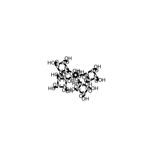 O=C(O)CN1CCN(CC(=O)O)CCN(CC(O)CO[C@@H]2[C@@H](OCC(O)CN3CCN(CC(=O)O)CCN(CC(=O)O)CCN(CC(=O)O)CC3)[C@H](OCC(O)CN3CCN(CC(=O)O)CCN(CC(=O)O)CCN(CC(=O)O)CC3)[C@@H](O)[C@@H](O)[C@H]2OCC(O)CN2CCN(CC(=O)O)CCN(CC(=O)O)CCN(CC(=O)O)CC2)CCN(CC(=O)O)CC1